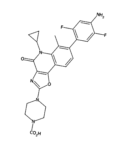 Cc1c(-c2cc(F)c(N)cc2F)ccc2c3oc(N4CCN(C(=O)O)CC4)nc3c(=O)n(C3CC3)c12